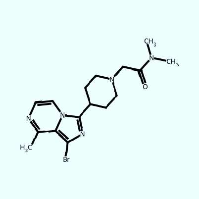 Cc1nccn2c(C3CCN(CC(=O)N(C)C)CC3)nc(Br)c12